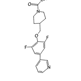 O=C(O)N1CCC(COc2c(F)cc(-c3cccnc3)cc2F)CC1